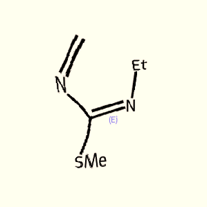 C=N/C(=N\CC)SC